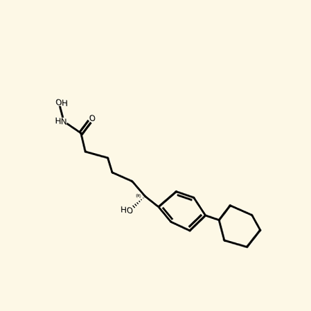 O=C(CCCC[C@@H](O)c1ccc(C2CCCCC2)cc1)NO